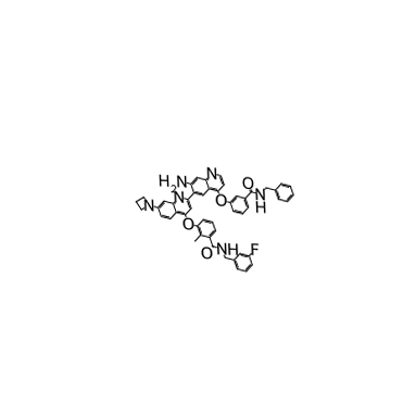 Cc1c(Oc2cc(-c3cc4c(Oc5cccc(C(=O)NCc6ccccc6)c5)ccnc4cc3N)nc3cc(N4CCC4)ccc23)cccc1C(=O)NCc1cccc(F)c1